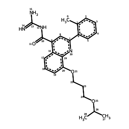 Cc1ccccc1-c1cc(C(=O)NC(=N)N)c2cccc(OCCCOC(C)C)c2n1